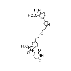 Cn1c(=O)n(C2CCC(=O)NC2=O)c2ccc(CCCOCCn3cc(-c4cnc(N)c(C(=O)O)c4)cn3)cc21